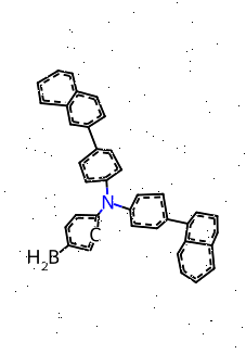 Bc1ccc(N(c2ccc(-c3ccc4ccccc4c3)cc2)c2ccc(-c3cccc4ccccc34)cc2)cc1